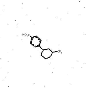 O=C(O)c1ccc(N2CCOC(C(F)(F)F)C2)nc1